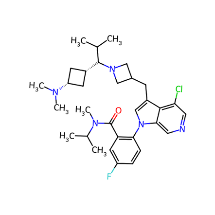 CC(C)C([C@H]1C[C@@H](N(C)C)C1)N1CC(Cc2cn(-c3ccc(F)cc3C(=O)N(C)C(C)C)c3cncc(Cl)c23)C1